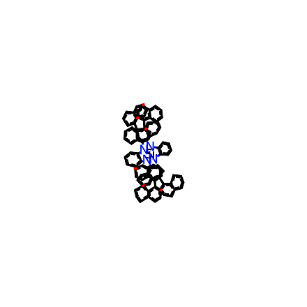 c1ccc2c(c1)N(c1ccc(-c3cccc4ccccc34)c3ccccc13)[Si]1(N2c2ccc(-c3cccc4ccccc34)c3ccccc23)N(c2ccc(-c3cccc4ccccc34)c3ccccc23)c2ccccc2N1c1ccc(-c2cccc3ccccc23)c2ccccc12